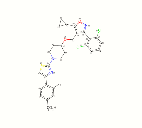 Cc1cc(C(=O)O)ccc1-c1csc(N2CCC(OCc3c(-c4c(Cl)cccc4Cl)noc3C3CC3)CC2)n1